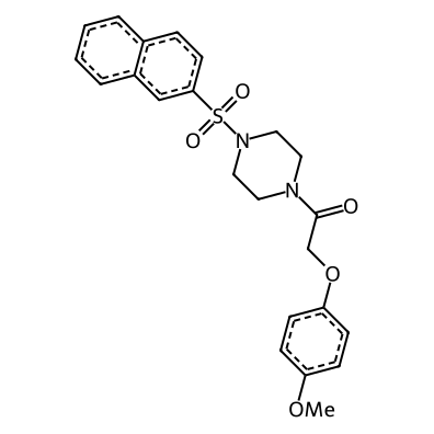 COc1ccc(OCC(=O)N2CCN(S(=O)(=O)c3ccc4ccccc4c3)CC2)cc1